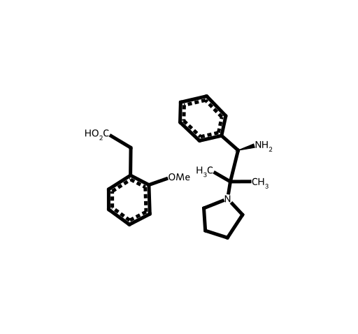 CC(C)([C@H](N)c1ccccc1)N1CCCC1.COc1ccccc1CC(=O)O